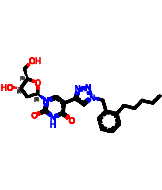 CCCCCc1ccccc1Cn1cc(-c2cn([C@H]3C[C@H](O)[C@@H](CO)O3)c(=O)[nH]c2=O)nn1